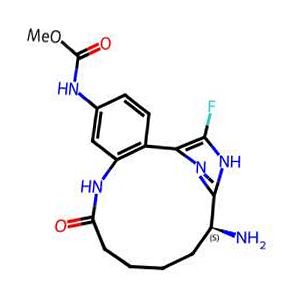 COC(=O)Nc1ccc2c(c1)NC(=O)CCCC[C@H](N)c1nc-2c(F)[nH]1